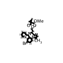 COC(=O)C1(C(=O)OCC[C@@H]2N=C(c3ccccn3)c3cc(Br)ccc3-n3c(C)cnc32)CC1